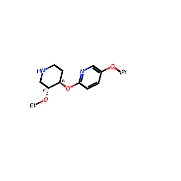 CCO[C@@H]1CNCC[C@H]1Oc1ccc(OC(C)C)cn1